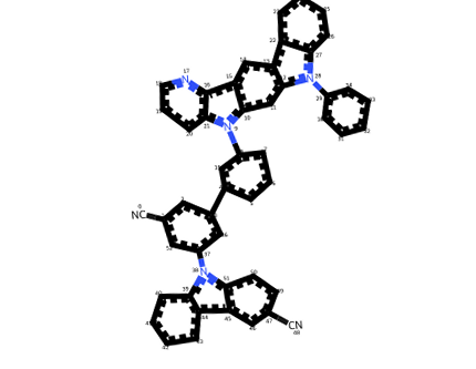 N#Cc1cc(-c2cccc(-n3c4cc5c(cc4c4ncccc43)c3ccccc3n5-c3ccccc3)c2)cc(-n2c3ccccc3c3cc(C#N)ccc32)c1